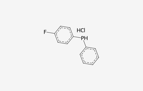 Cl.Fc1ccc(Pc2ccccc2)cc1